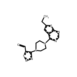 CCc1cc2c(N3CCN(c4nnsc4C=O)CC3)ncnc2s1